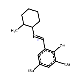 CC1CCCCC1/N=C/c1cc(C(C)(C)C)cc(C(C)(C)C)c1O